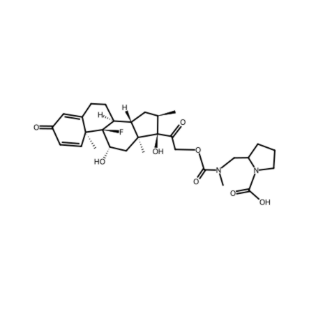 C[C@@H]1C[C@H]2[C@@H]3CCC4=CC(=O)C=C[C@]4(C)[C@@]3(F)[C@@H](O)C[C@]2(C)[C@@]1(O)C(=O)COC(=O)N(C)CC1CCCN1C(=O)O